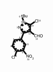 CC(C)(C)n1nc(-c2ccc(Cl)c([N+](=O)[O-])c2)c(C=O)c1Cl